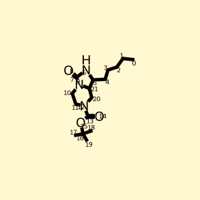 CCCCCC1NC(=O)N2CCN(C(=O)OC(C)(C)C)CC12